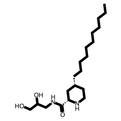 CCCCCCCCCCC[C@@H]1CCN[C@H](C(=O)NCC(O)CO)C1